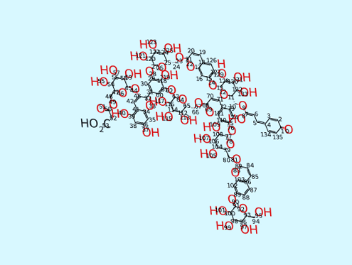 O=C1C=CC(=CC=C(O)OC[C@@H]2O[C@H](Oc3ccc(/C=C\C(=O)OC[C@@H]4O[C@H](Oc5cc(-c6[o+]c7cc(O)cc(O)c7cc6O[C@H]6O[C@@H](COC(=O)CC(=O)O)[C@H](O)[C@H](O)[C@H]6O)cc(O[C@H]6O[C@H](COC(=O)/C=C\c7ccc(O[C@H]8O[C@@H](COC(=O)/C=C\c9ccc(O[C@H]%10O[C@@H](CO)[C@H](O)[C@H](O)[C@H]%10O)cc9)[C@H](O)[C@H](O)[C@H]8O)cc7)[C@@H](O)[C@@H](O)[C@H]6O)c5O)[C@H](O)[C@@H](O)[C@H]4O)cc3)[C@H](O)[C@@H](O)[C@H]2O)C=C1